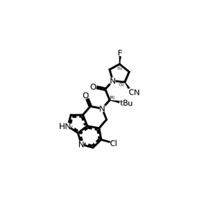 CC(C)(C)[C@H](C(=O)N1C[C@@H](F)C[C@H]1C#N)N1Cc2c(Cl)cnc3[nH]cc(c23)C1=O